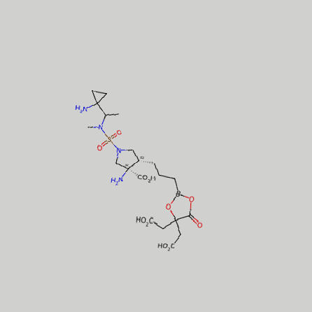 CC(N(C)S(=O)(=O)N1C[C@H](CCCB2OC(=O)C(CC(=O)O)(CC(=O)O)O2)[C@](N)(C(=O)O)C1)C1(N)CC1